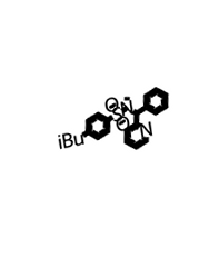 CCC(C)c1ccc(S(=O)(=O)N(C)C(c2ccccc2)c2ccccn2)cc1